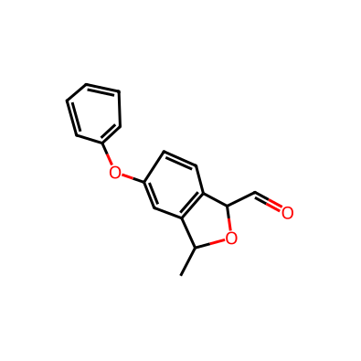 CC1OC(C=O)c2ccc(Oc3ccccc3)cc21